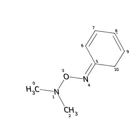 CN(C)ON=C1C=C[C]=CC1